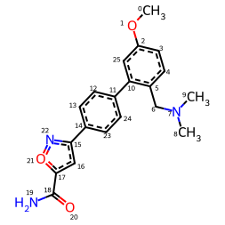 COc1ccc(CN(C)C)c(-c2ccc(-c3cc(C(N)=O)on3)cc2)c1